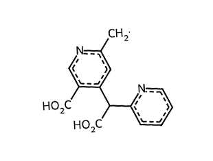 [CH2]c1cc(C(C(=O)O)c2ccccn2)c(C(=O)O)cn1